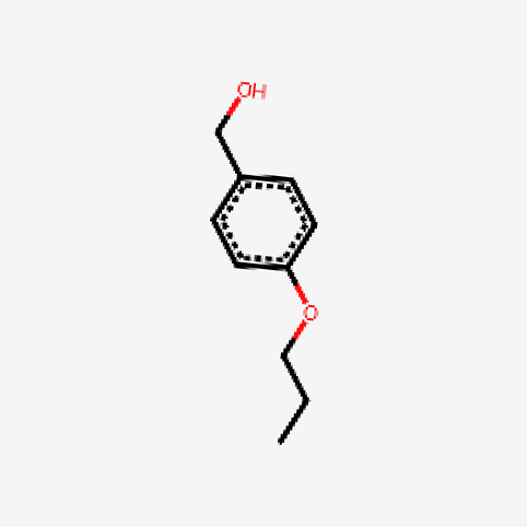 CCCOc1ccc(CO)cc1